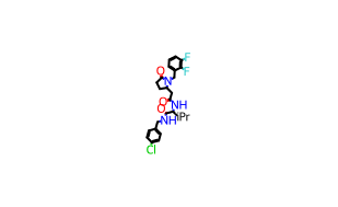 CC(C)C(NC(=O)CC1CCC(=O)N1Cc1cccc(F)c1F)C(=O)NCc1ccc(Cl)cc1